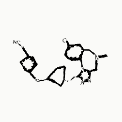 CN1Cc2cc(Cl)ccc2-n2c(nnc2[C@H]2CC[C@H](Oc3ccc(C#N)cc3)CC2)C1